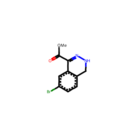 COC(=O)C1=NNCc2ccc(Br)cc21